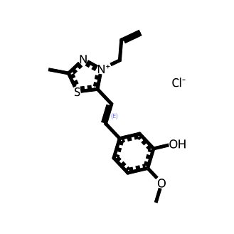 C=CC[n+]1nc(C)sc1/C=C/c1ccc(OC)c(O)c1.[Cl-]